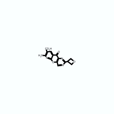 Nc1nc2oc3cnc(C4COC4)nc3c(=O)c2cc1C(=O)O